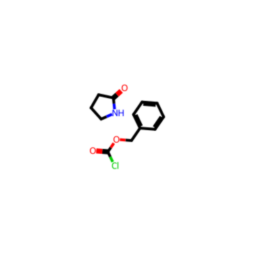 O=C(Cl)OCc1ccccc1.O=C1CCCN1